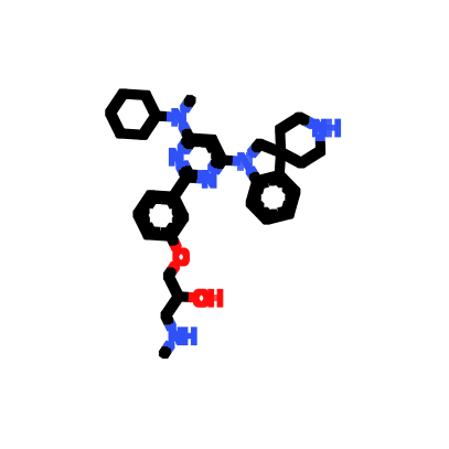 CNCC(O)COc1cccc(-c2nc(N3CC4(CCNCC4)c4ccccc43)cc(N(C)C3CCCCC3)n2)c1